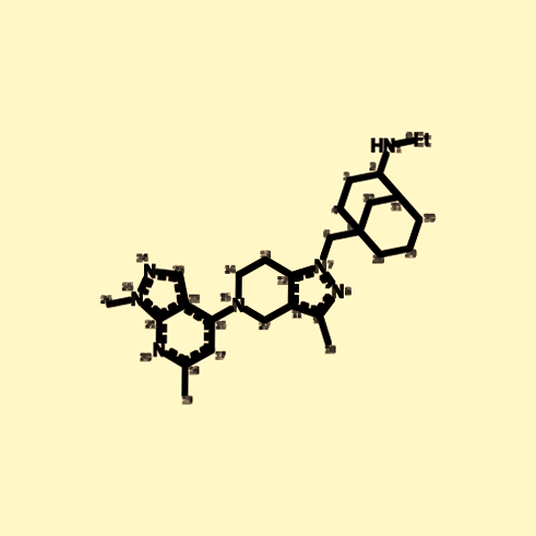 CCNC1CCC2(Cn3nc(C)c4c3CCN(c3cc(C)nc5c3cnn5C)C4)CCCC1C2